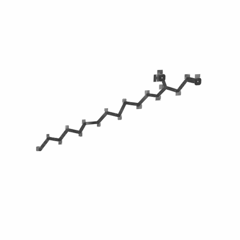 CCCCCCCCCCCCCC(O)CC=O